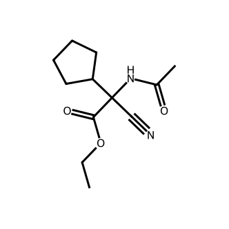 CCOC(=O)C(C#N)(NC(C)=O)C1CCCC1